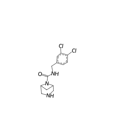 O=C(NCc1ccc(Cl)c(Cl)c1)N1C2CNCC1C2